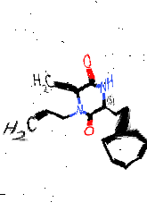 C=CCN1C(=C)C(=O)N[C@@H](Cc2ccccc2)C1=O